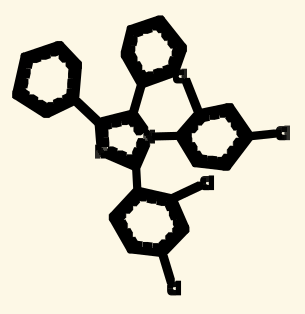 Clc1ccc(-c2nc(-c3ccccc3)c(-c3ccccc3)n2-c2ccc(Cl)cc2Cl)c(Cl)c1